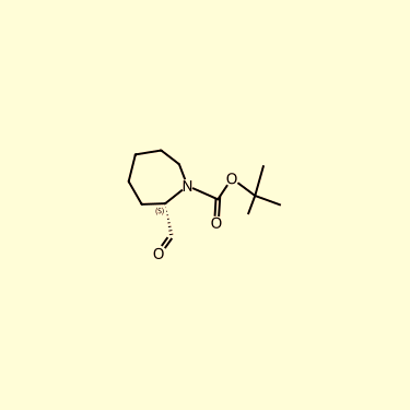 CC(C)(C)OC(=O)N1CCCCC[C@H]1C=O